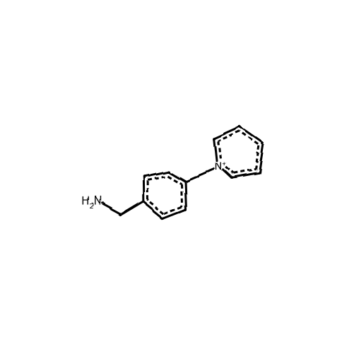 NCc1ccc(-[n+]2ccccc2)cc1